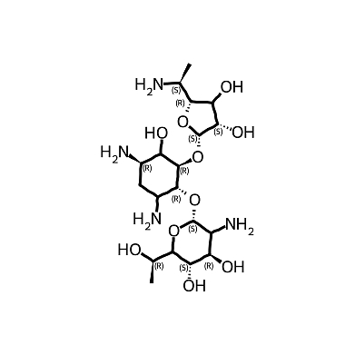 C[C@H](N)[C@H]1O[C@@H](O[C@@H]2C(O)[C@H](N)CC(N)[C@H]2O[C@H]2OC([C@@H](C)O)[C@@H](O)[C@H](O)C2N)[C@@H](O)C1O